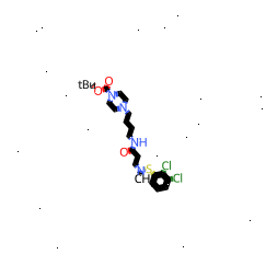 CN(CCC(=O)NCCCCN1CCN(C(=O)OC(C)(C)C)CC1)Sc1cccc(Cl)c1Cl